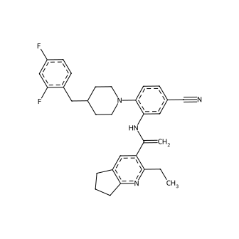 C=C(Nc1cc(C#N)ccc1N1CCC(Cc2ccc(F)cc2F)CC1)c1cc2c(nc1CC)CCC2